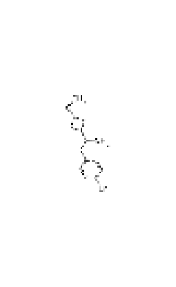 COC1CC(C(N)Cc2ccc(Br)cc2)C1